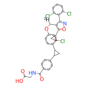 [2H]C(Oc1ccc(C2CC2c2ccc(C(=O)NCC(=O)O)cc2)c(Cl)c1)c1c(-c2c(Cl)cccc2Cl)noc1C1CC1